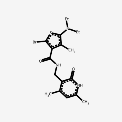 CCN(CC)c1sc(Br)c(C(=O)NCc2c(C)cc(C)[nH]c2=O)c1C